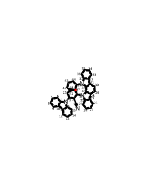 N#Cc1c(-n2c3ccccc3c3ccccc32)cccc1-n1c2ccccc2c2ccc3c4ccccc4n(-c4ccccc4)c3c21